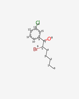 CCCCCC(Br)C(=O)c1cccc(Cl)c1